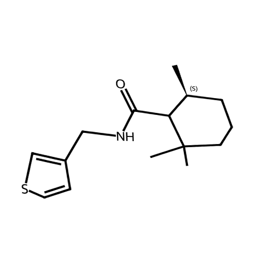 C[C@H]1CCCC(C)(C)C1C(=O)NCc1ccsc1